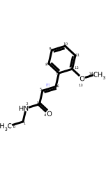 CCNC(=O)/C=C/c1ccccc1OC